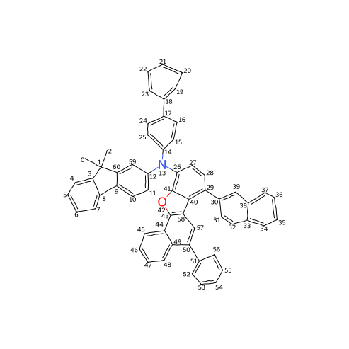 CC1(C)c2ccccc2-c2ccc(N(c3ccc(-c4ccccc4)cc3)c3ccc(-c4ccc5ccccc5c4)c4c3oc3c5ccccc5c(-c5ccccc5)cc34)cc21